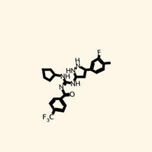 Cc1ccc(C2CC(N/C(=N\C(=O)c3ccc(C(F)(F)F)cc3)NC3CCCC3)NN2)cc1F